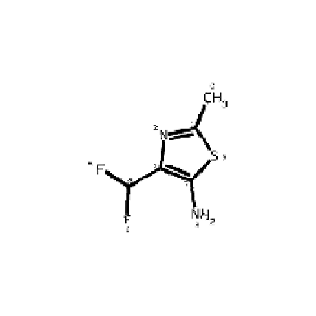 Cc1nc(C(F)F)c(N)s1